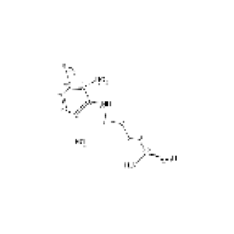 Cl.N[C@@H](CCCCNc1cccc([N+](=O)[O-])c1[N+](=O)[O-])C(=O)O